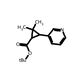 CC(C)(C)OC(=O)C1C(c2cccnc2)C1(C)C